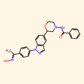 C/C(=N\O)c1ccc(-n2ncc3cc(C4CN(NC(=O)c5ccccc5)CCO4)ccc32)cc1